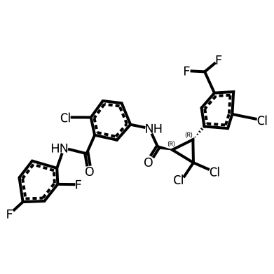 O=C(Nc1ccc(F)cc1F)c1cc(NC(=O)[C@H]2[C@H](c3cc(Cl)cc(C(F)F)c3)C2(Cl)Cl)ccc1Cl